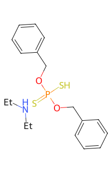 CCNCC.S=P(S)(OCc1ccccc1)OCc1ccccc1